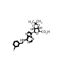 CC1(C)O[C@@H]2[C@H](O1)[C@@H](C(=O)O)O[C@H]2c1cnc2c(NCc3cccc(I)c3)ncnn12